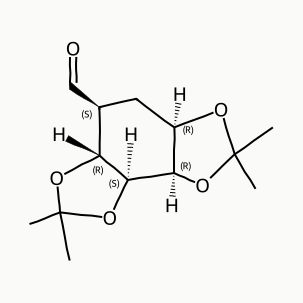 CC1(C)O[C@H]2[C@H](O1)[C@@H](C=O)C[C@H]1OC(C)(C)O[C@@H]21